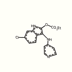 CCOC(=O)Oc1[nH]c2cc(Cl)ccc2c1Nc1ccncc1